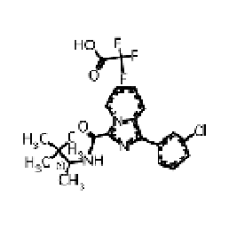 C[C@H](NC(=O)c1nc(-c2cccc(Cl)c2)c2ccccn12)C(C)(C)C.O=C(O)C(F)(F)F